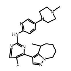 CC1CCCCn2ncc(-c3nc(Nc4ccc(N5CCN(C)CC5)cn4)ncc3F)c21